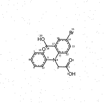 O=C(O)CN(c1ccccc1)c1ccc(Br)cc1C(=O)O